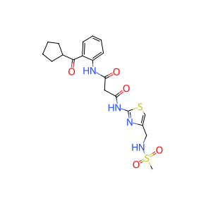 CS(=O)(=O)NCc1csc(NC(=O)CC(=O)Nc2ccccc2C(=O)C2CCCC2)n1